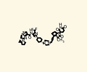 Cn1c(=O)n(C2CCC(=O)NC2=O)c2cccc(C#CCN3CCN(C[C@H]4CC[C@H](n5cc(NC(=O)c6cnn7ccc(N8CCCC89CC9)nc67)c(C(F)F)n5)CC4)CC3)c21